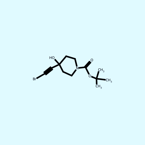 CC(C)(C)OC(=O)N1CCC(O)(C#CBr)CC1